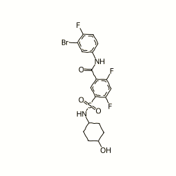 O=C(Nc1ccc(F)c(Br)c1)c1cc(S(=O)(=O)NC2CCC(O)CC2)c(F)cc1F